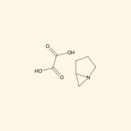 C1CC2CN2C1.O=C(O)C(=O)O